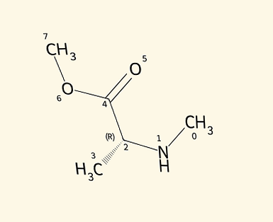 CN[C@H](C)C(=O)OC